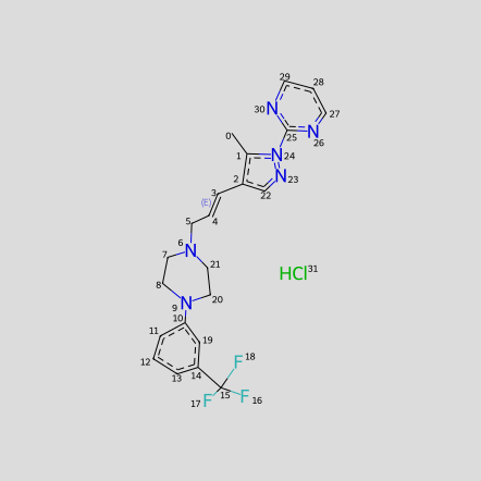 Cc1c(/C=C/CN2CCN(c3cccc(C(F)(F)F)c3)CC2)cnn1-c1ncccn1.Cl